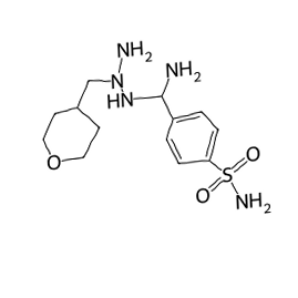 NC(NN(N)CC1CCOCC1)c1ccc(S(N)(=O)=O)cc1